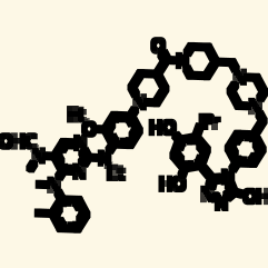 CCOc1cc(N2CCC(C(=O)N3CCC(CN4CCN(Cc5ccc(-n6c(O)nnc6-c6cc(C(C)C)c(O)cc6O)cc5)CC4)CC3)CC2)ccc1N(CC)c1ncc(N(C)C=O)c(N(C)c2ccccc2C)n1